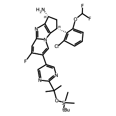 CC(C)(O[Si](C)(C)C(C)(C)C)c1ncc(-c2cn3c4c(nc3cc2F)[C@H](N)C[C@@H]4c2c(Cl)cccc2OC(F)F)cn1